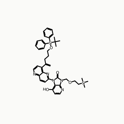 C=C(CCCO[Si](c1ccccc1)(c1ccccc1)C(C)(C)C)c1ccnc2ccc(-n3c(=O)n(COCC[Si](C)(C)C)c4nccc(O)c43)nc12